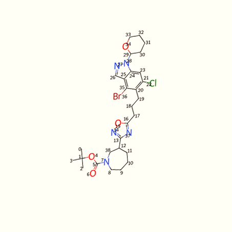 CC(C)(C)OC(=O)N1CCCCC(c2noc(CCCc3c(Cl)cc4c(cnn4C4CCCCO4)c3Br)n2)C1